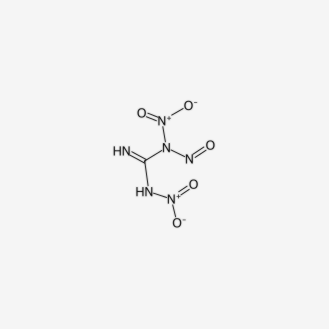 N=C(N[N+](=O)[O-])N(N=O)[N+](=O)[O-]